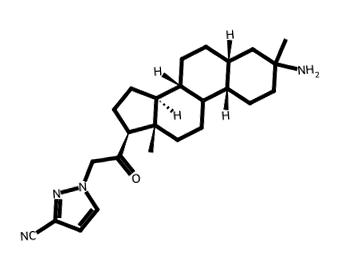 CC1(N)CC[C@@H]2C3CC[C@]4(C)[C@@H](C(=O)Cn5ccc(C#N)n5)CC[C@H]4[C@@H]3CC[C@@H]2C1